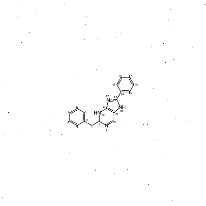 C1=NC(Cc2ccccc2)Nc2nc(-c3ccccc3)[nH]c21